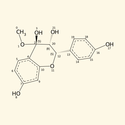 CO[C@@]1(O)c2ccc(O)cc2O[C@@H](c2ccc(O)cc2)[C@H]1O